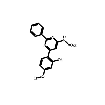 CCCCCCCCNc1cc(-c2ccc(OCC)cc2O)nc(-c2ccccc2)n1